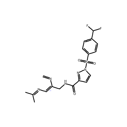 C=N/C(=C\N=C(C)C)CNC(=O)c1ccn(S(=O)(=O)c2ccc(C(F)F)cc2)n1